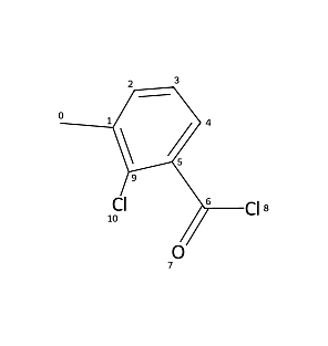 Cc1cccc(C(=O)Cl)c1Cl